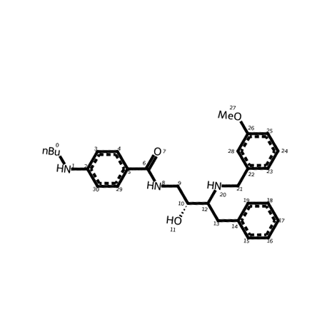 CCCCNc1ccc(C(=O)NC[C@@H](O)C(Cc2ccccc2)NCc2cccc(OC)c2)cc1